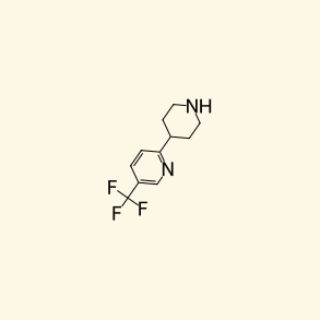 FC(F)(F)c1ccc(C2CCNCC2)nc1